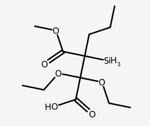 CCCC([SiH3])(C(=O)OC)C(OCC)(OCC)C(=O)O